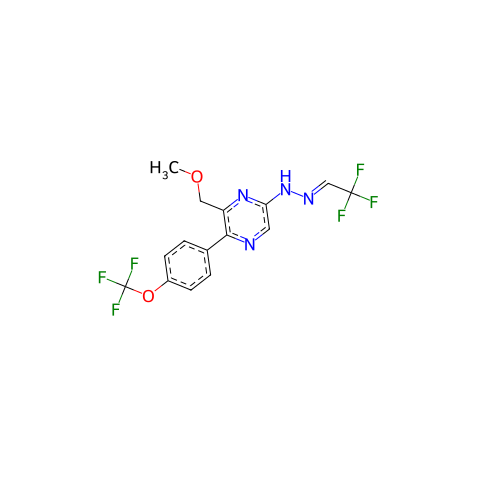 COCc1nc(NN=CC(F)(F)F)cnc1-c1ccc(OC(F)(F)F)cc1